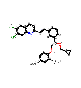 COc1ccc(OC[C@H](OCC2CC2)c2cccc(/C=C/c3ccc4cc(Cl)c(Cl)cc4n3)c2)c(C(=O)O)c1